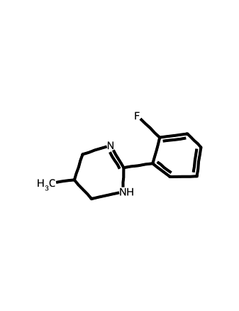 CC1CN=C(c2ccccc2F)NC1